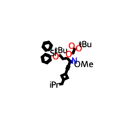 CO/N=C(\C#CC1CC(CC(C)C)C1)C(CCO[Si](c1ccccc1)(c1ccccc1)C(C)(C)C)OCC(=O)OC(C)(C)C